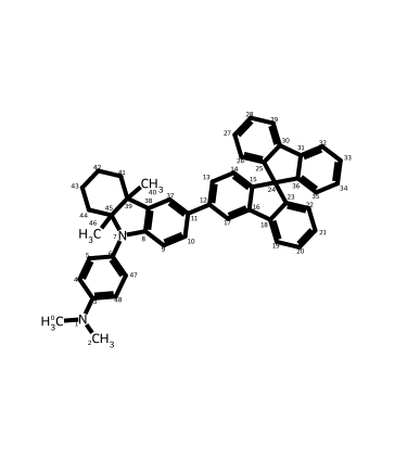 CN(C)c1ccc(N2c3ccc(-c4ccc5c(c4)-c4ccccc4C54c5ccccc5-c5ccccc54)cc3C3(C)CCCCC23C)cc1